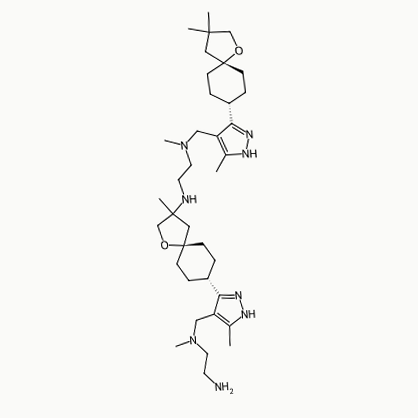 Cc1[nH]nc([C@H]2CC[C@@]3(CC2)CC(C)(C)CO3)c1CN(C)CCNC1(C)CO[C@]2(CC[C@H](c3n[nH]c(C)c3CN(C)CCN)CC2)C1